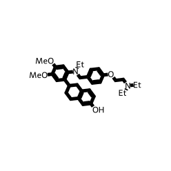 CCN(CC)CCOc1ccc(CN(CC)c2cc(OC)c(OC)cc2C2CCc3cc(O)ccc3C2)cc1